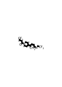 C=C(/C=C\C=N/CC(F)(F)F)C1CCN(C(=O)CCC(F)(F)F)CC1